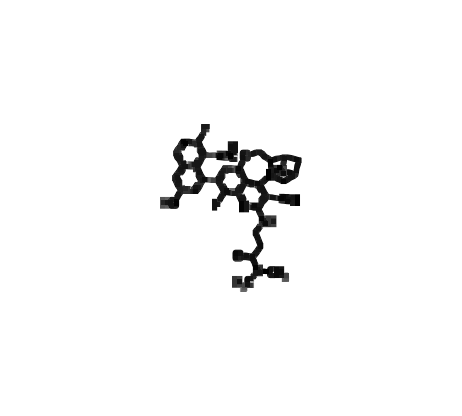 C#Cc1c(F)ccc2cc(O)cc(-c3cc4c5c(c(C#N)c(NCCC(=O)N(C)C)nc5c3F)N3CC5CC(N5)C3CO4)c12